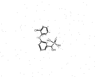 O=P(O)(O)C(O)c1cccc(Oc2ccccc2Cl)c1